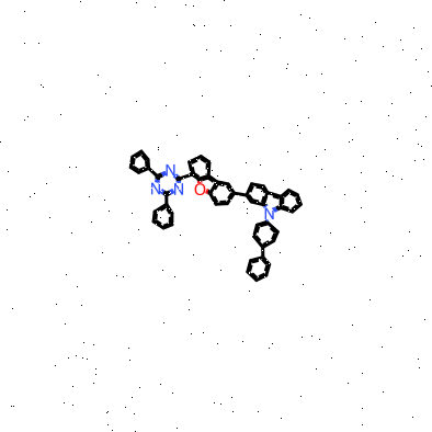 c1ccc(-c2ccc(-n3c4ccccc4c4ccc(-c5ccc6oc7c(-c8nc(-c9ccccc9)nc(-c9ccccc9)n8)cccc7c6c5)cc43)cc2)cc1